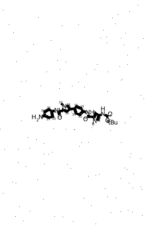 Cn1cc(NC(=O)OC(C)(C)C)cc1C(=O)Nc1ccc(-c2cc(C(=O)Nc3ccc(N)cc3)n(C)c2)cc1